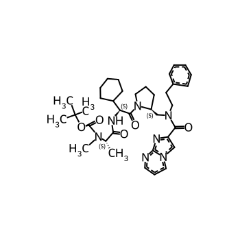 C[C@@H](C(=O)N[C@H](C(=O)N1CCC[C@H]1CN(CCc1ccccc1)C(=O)c1cn2cccnc2n1)C1CCCCC1)N(C)C(=O)OC(C)(C)C